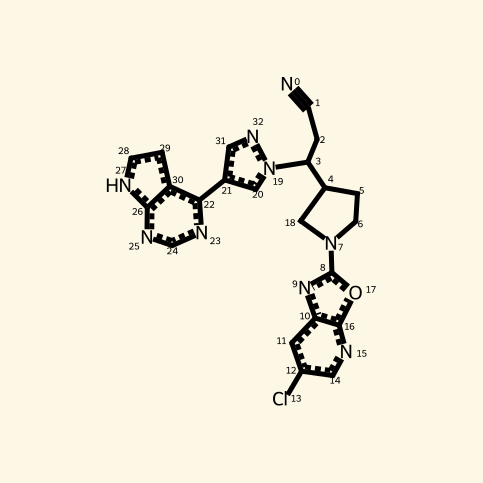 N#CCC(C1CCN(c2nc3cc(Cl)cnc3o2)C1)n1cc(-c2ncnc3[nH]ccc23)cn1